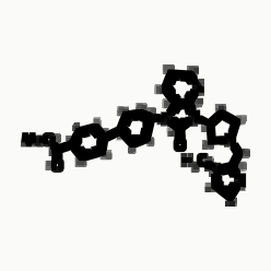 COC(=O)c1ccc(-c2ccc(-n3c(=O)n([C@H]4CCN(Cc5nccn5C)C4)c4ncccc43)cc2)cc1